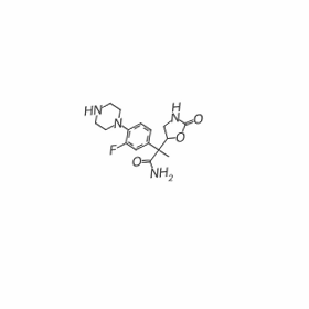 CC(C(N)=O)(c1ccc(N2CCNCC2)c(F)c1)C1CNC(=O)O1